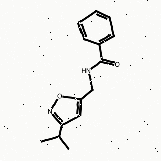 CC(C)c1cc(CNC(=O)c2ccccc2)on1